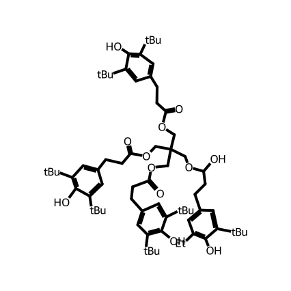 CCc1cc(CCC(O)OCC(COC(=O)CCc2cc(C(C)(C)C)c(O)c(C(C)(C)C)c2)(COC(=O)CCc2cc(C(C)(C)C)c(O)c(C(C)(C)C)c2)COC(=O)CCc2cc(C(C)(C)C)c(O)c(C(C)(C)C)c2)cc(C(C)(C)C)c1O